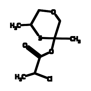 CC1COCC(C)(OC(=O)C(C)Cl)S1